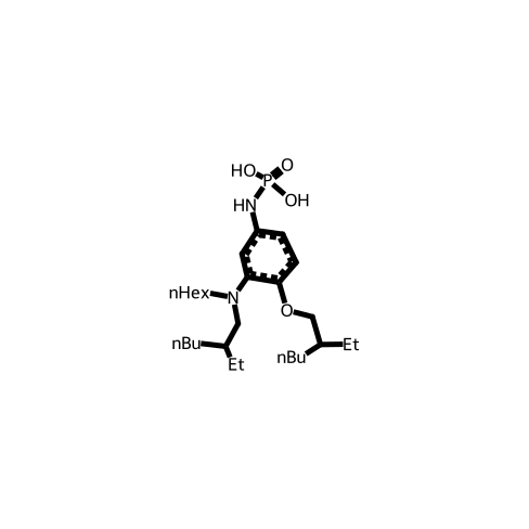 CCCCCCN(CC(CC)CCCC)c1cc(NP(=O)(O)O)ccc1OCC(CC)CCCC